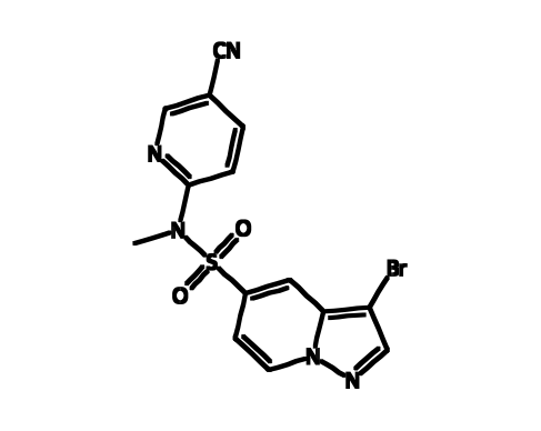 CN(c1ccc(C#N)cn1)S(=O)(=O)c1ccn2ncc(Br)c2c1